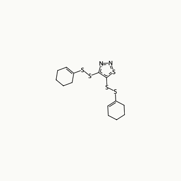 C1=C(SSc2nnsc2SSC2=CCCCC2)CCCC1